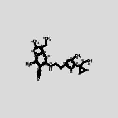 CCc1c(C)nn2c(C)c(C#N)c(NCCc3cc(C)n(C4(CO)CC4)n3)nc12